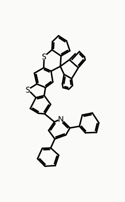 c1ccc(-c2cc(-c3ccccc3)nc(-c3ccc4sc5cc6c(cc5c4c3)C3(c4ccccc4S6)c4ccccc4-c4ccccc43)c2)cc1